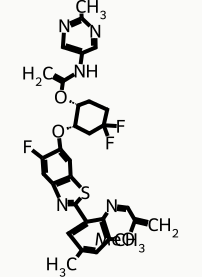 C=C(/C=N\c1c(C)cc(C)cc1-c1nc2cc(F)c(O[C@H]3CC(F)(F)CC[C@H]3OC(=C)Nc3cnc(C)nc3)cc2s1)OC